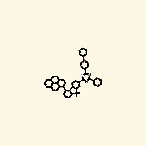 CC1(C)c2cc(-c3nc(-c4ccccc4)nc(-c4ccc(-c5ccccc5)cc4)n3)ccc2-c2c(-c3ccc4ccc5cccc6ccc3c4c56)cccc21